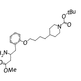 COC(=O)CC(N)Cc1ccccc1OCCCCC1CCN(C(=O)OC(C)(C)C)CC1